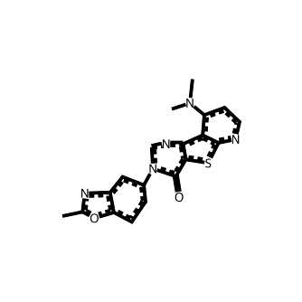 Cc1nc2cc(-n3cnc4c(sc5nccc(N(C)C)c54)c3=O)ccc2o1